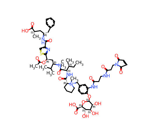 CC[C@H](C)[C@H](NC(=O)[C@H]1CCCC[N+]1(C)Cc1ccc(O[C@@H]2O[C@H](C(=O)O)[C@@H](O)[C@H](O)[C@H]2O)c(NC(=O)CCNC(=O)CCN2C(=O)C=CC2=O)c1)C(=O)N(C)[C@H](C[C@@H](OC(C)=O)c1nc(C(=O)N[C@@H](Cc2ccccc2)C[C@H](C)C(=O)O)cs1)C(C)C